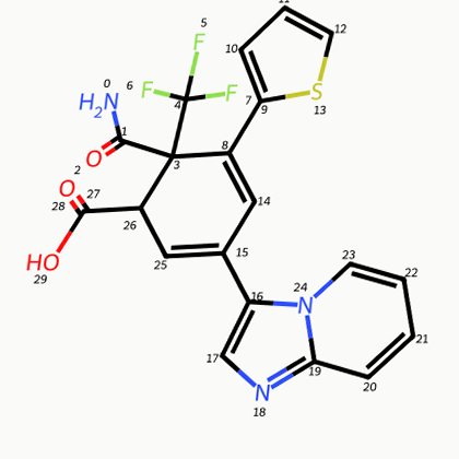 NC(=O)C1(C(F)(F)F)C(c2cccs2)=CC(c2cnc3ccccn23)=CC1C(=O)O